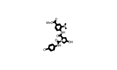 COC(=O)c1ccc(NC(=O)C2CC(O)CN2C(=O)Nc2ccc(Cl)cc2)c(N(C)C)c1